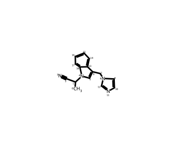 CC(C#N)n1cc(Cn2ccnc2)c2ccccc21